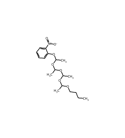 CCCCOC(C)OC(C)OC(C)OC(C)Oc1ccccc1[N+](=O)[O-]